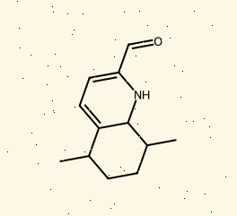 CC1CCC(C)C2NC(C=O)=CC=C12